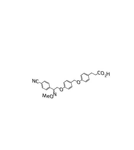 CON=C(COc1ccc(COc2ccc(CCC(=O)O)cc2)cc1)c1ccc(C#N)cc1